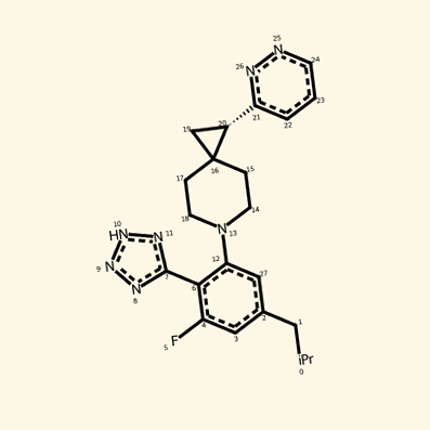 CC(C)Cc1cc(F)c(-c2nn[nH]n2)c(N2CCC3(CC2)C[C@@H]3c2cccnn2)c1